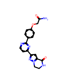 NC(=O)COc1ccc(-c2nccc(-c3cc4n(n3)CCNC4=O)n2)cc1